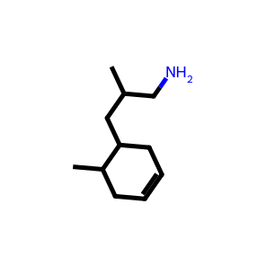 CC(CN)CC1CC=CCC1C